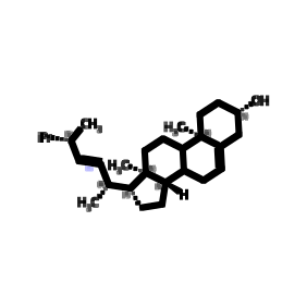 CC(C)[C@H](C)/C=C/[C@@H](C)[C@H]1CC[C@H]2C3CC=C4C[C@@H](O)CC[C@]4(C)C3CC[C@]12C